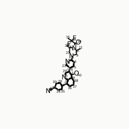 COc1c(-c2ccc(N3CC(C)N(C(=O)C(C)(F)F)[C@H](C)C3)nc2)cnc2c(-c3ccc(C#N)cc3)cccc12